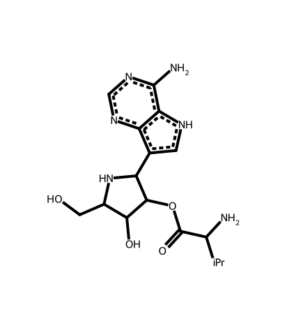 CC(C)C(N)C(=O)OC1C(c2c[nH]c3c(N)ncnc23)NC(CO)C1O